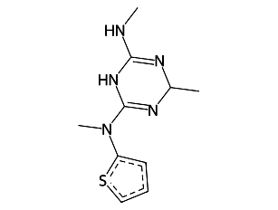 CNC1=NC(C)N=C(N(C)c2cccs2)N1